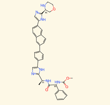 COC(=O)N[C@@H](C(=O)N[C@@H](C)c1ncc(-c2ccc(-c3ccc4cc(-c5cnc([C@@H]6COCCN6)[nH]5)ccc4c3)cc2)[nH]1)c1ccccc1